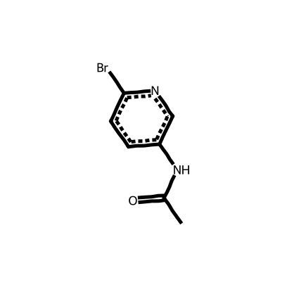 CC(=O)Nc1ccc(Br)nc1